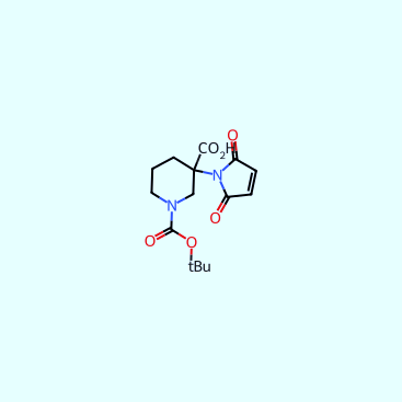 CC(C)(C)OC(=O)N1CCCC(C(=O)O)(N2C(=O)C=CC2=O)C1